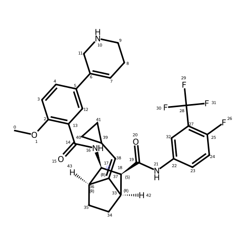 COc1ccc(C2=CCCNC2)cc1C(=O)N[C@H]1[C@@H](C(=O)Nc2ccc(F)c(C(F)(F)F)c2)[C@H]2CC[C@@H]1/C2=C\C1CC1